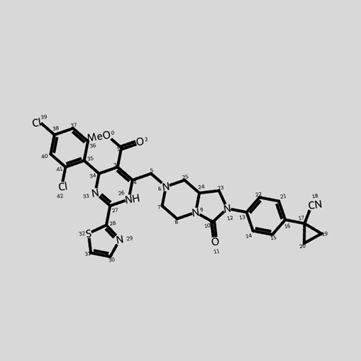 COC(=O)C1=C(CN2CCN3C(=O)N(c4ccc(C5(C#N)CC5)cc4)CC3C2)NC(c2nccs2)=NC1c1ccc(Cl)cc1Cl